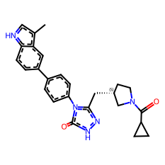 Cc1c[nH]c2ccc(-c3ccc(-n4c(C[C@@H]5CCN(C(=O)C6CC6)C5)n[nH]c4=O)cc3)cc12